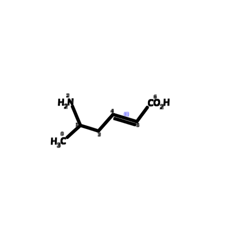 CC(N)C/C=C/C(=O)O